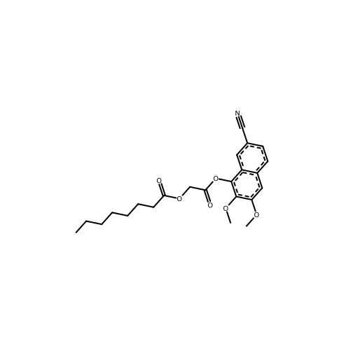 CCCCCCCC(=O)OCC(=O)Oc1c(OC)c(OC)cc2ccc(C#N)cc12